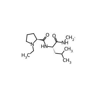 [CH2]NC(=O)[C@H](CC(C)C)NC(=O)[C@@H]1CCCN1CC